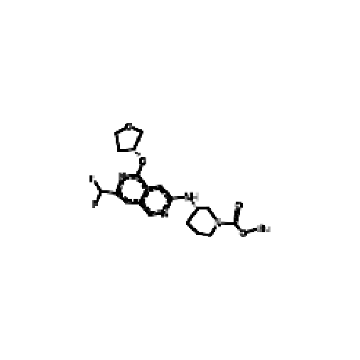 CC(C)(C)OC(=O)N1CCC[C@H](Nc2cc3c(O[C@@H]4CCOC4)nc(C(F)F)cc3cn2)C1